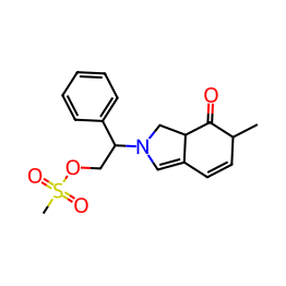 CC1C=CC2=CN(C(COS(C)(=O)=O)c3ccccc3)CC2C1=O